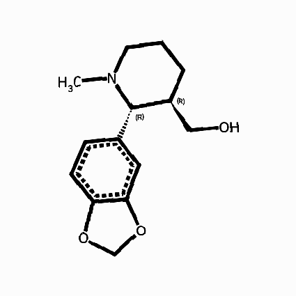 CN1CCC[C@@H](CO)[C@@H]1c1ccc2c(c1)OCO2